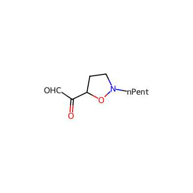 CCCCCN1CCC(C(=O)C=O)O1